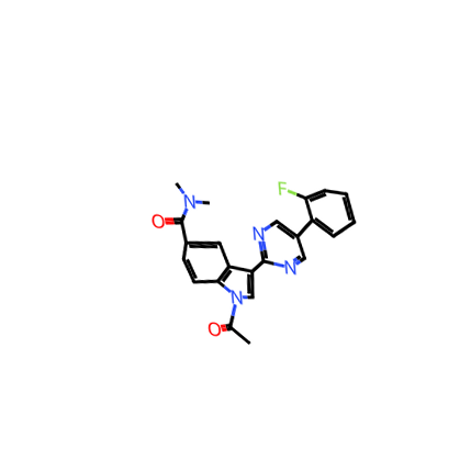 CC(=O)n1cc(-c2ncc(-c3ccccc3F)cn2)c2cc(C(=O)N(C)C)ccc21